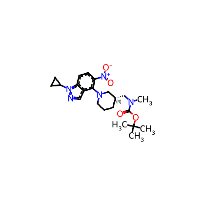 CN(C[C@@H]1CCCN(c2c([N+](=O)[O-])ccc3c2cnn3C2CC2)C1)C(=O)OC(C)(C)C